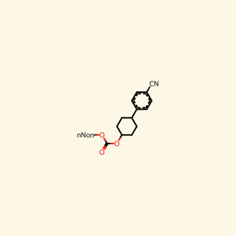 CCCCCCCCCOC(=O)OC1CCC(c2ccc(C#N)cc2)CC1